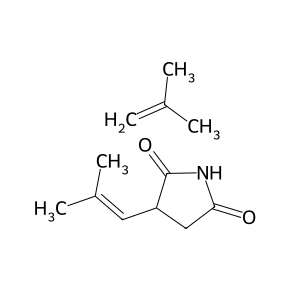 C=C(C)C.CC(C)=CC1CC(=O)NC1=O